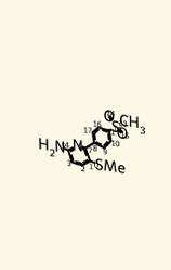 CSc1ccc(N)nc1-c1ccc(S(C)(=O)=O)cc1